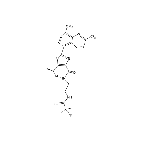 COc1ccc(-c2nc(C(=O)NCCNC(=O)C(C)(C)F)c([C@H](C)N)o2)c2ccc(C(F)(F)F)nc12